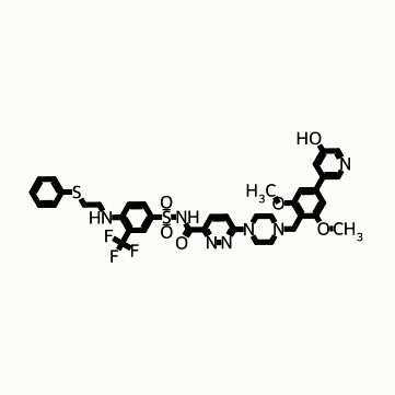 COc1cc(-c2cncc(O)c2)cc(OC)c1CN1CCN(c2ccc(C(=O)NS(=O)(=O)c3ccc(NCCSc4ccccc4)c(C(F)(F)F)c3)nn2)CC1